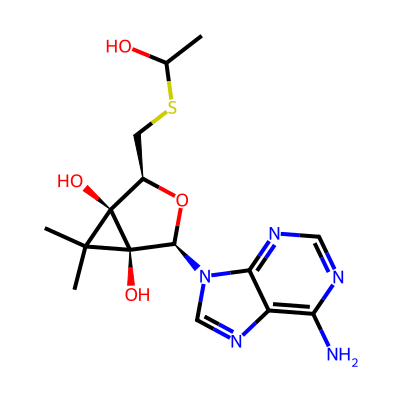 CC(O)SC[C@H]1O[C@@H](n2cnc3c(N)ncnc32)[C@]2(O)C(C)(C)[C@]12O